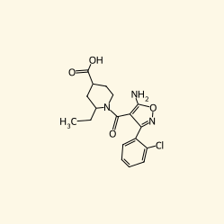 CCC1CC(C(=O)O)CCN1C(=O)c1c(-c2ccccc2Cl)noc1N